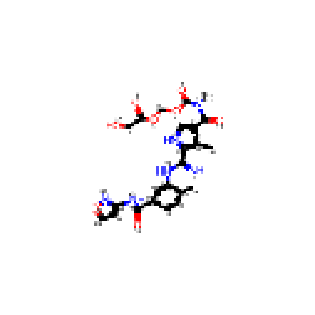 CCN(C(=O)OCOC(=O)CO)C(=O)c1c[nH]c(C(=N)Nc2cc(C(=O)Nc3ccon3)ccc2C)c1C